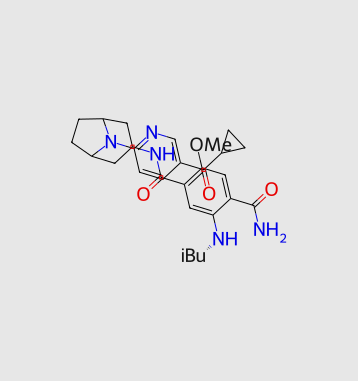 CC[C@@H](C)Nc1cc(C(=O)NC2CC3CCC(C2)N3c2ccc(C(=O)C3CC3)cn2)c(OC)cc1C(N)=O